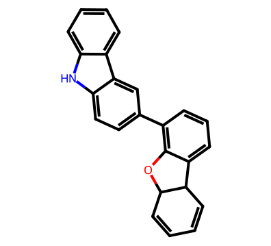 C1=CC2Oc3c(-c4ccc5[nH]c6ccccc6c5c4)cccc3C2C=C1